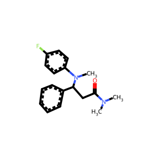 CN(C)C(=O)CC(c1ccccc1)N(C)c1ccc(F)cc1